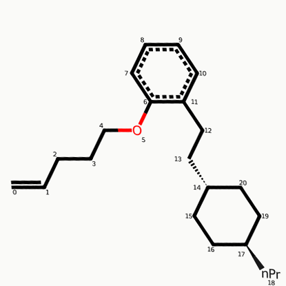 C=CCCCOc1ccccc1CC[C@H]1CC[C@H](CCC)CC1